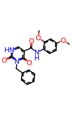 COc1ccc(NC(=O)c2c[nH]c(=O)n(Cc3ccccc3)c2=O)c(OC)c1